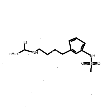 CCCCCCC(CC)NCCCCc1cccc(NS(C)(=O)=O)c1